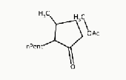 CCCCCC1C(=O)CCC1C.COC(C)=O